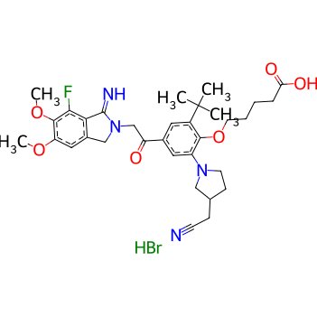 Br.COc1cc2c(c(F)c1OC)C(=N)N(CC(=O)c1cc(N3CCC(CC#N)C3)c(OCCCCC(=O)O)c(C(C)(C)C)c1)C2